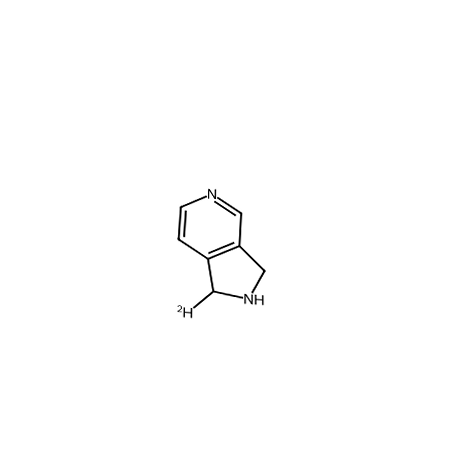 [2H]C1NCc2cnccc21